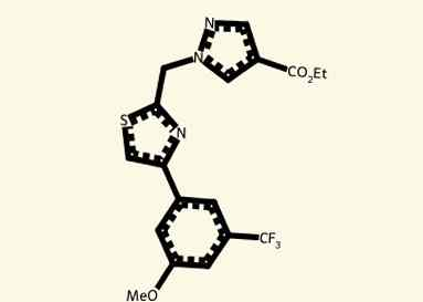 CCOC(=O)c1cnn(Cc2nc(-c3cc(OC)cc(C(F)(F)F)c3)cs2)c1